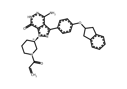 C=CC(=O)N1CCC[C@@H](n2nc(-c3ccc(OC4Cc5ccccc5C4)cc3)c3c(N)n[nH]c(=O)c32)C1